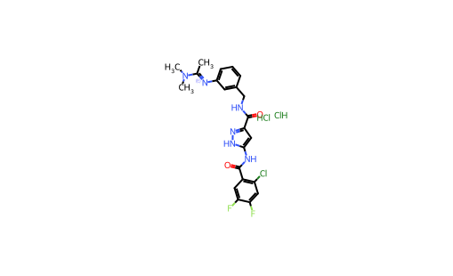 C/C(=N\c1cccc(CNC(=O)c2cc(NC(=O)c3cc(F)c(F)cc3Cl)[nH]n2)c1)N(C)C.Cl.Cl